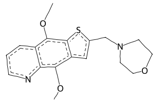 COc1c2cc(CN3CCOCC3)sc2c(OC)c2cccnc12